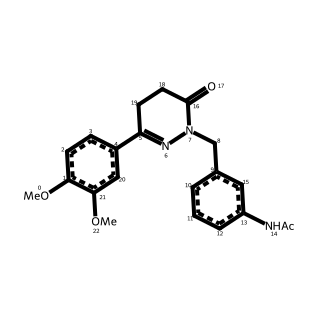 COc1ccc(C2=NN(Cc3cccc(NC(C)=O)c3)C(=O)CC2)cc1OC